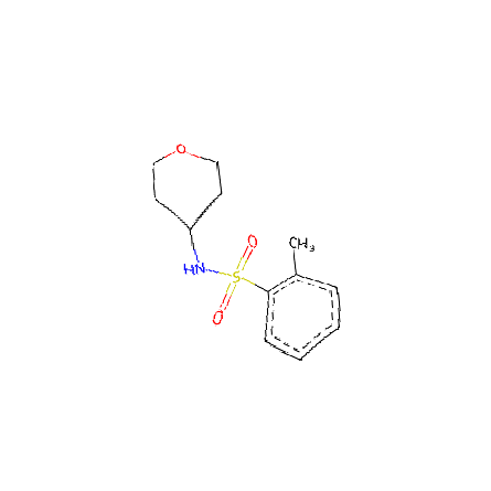 Cc1ccccc1S(=O)(=O)NC1CCOCC1